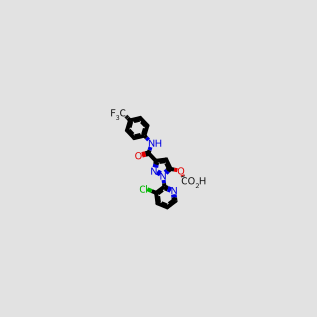 O=C(O)Oc1cc(C(=O)Nc2ccc(C(F)(F)F)cc2)nn1-c1ncccc1Cl